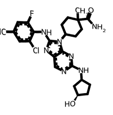 CC1(C(N)=O)CCC(n2c(Nc3c(F)cc(C#N)cc3Cl)nc3cnc(NC4CC[C@@H](O)C4)nc32)CC1